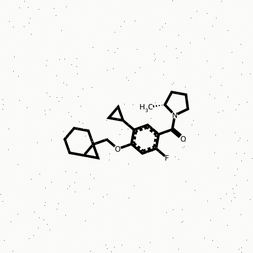 C[C@@H]1CCCN1C(=O)c1cc(C2CC2)c(OCC23CCCCC2C3)cc1F